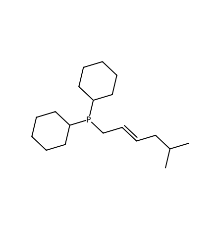 CC(C)CC=CCP(C1CCCCC1)C1CCCCC1